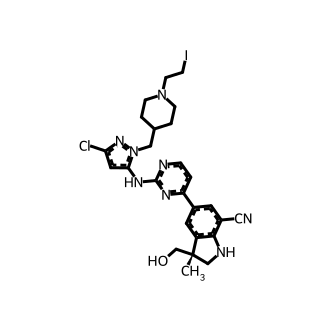 C[C@]1(CO)CNc2c(C#N)cc(-c3ccnc(Nc4cc(Cl)nn4CC4CCN(CCI)CC4)n3)cc21